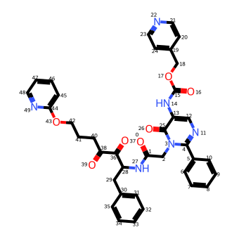 O=C(Cn1c(-c2ccccc2)ncc(NC(=O)OCc2ccncc2)c1=O)NC(Cc1ccccc1)C(=O)C(=O)CCCOc1ccccn1